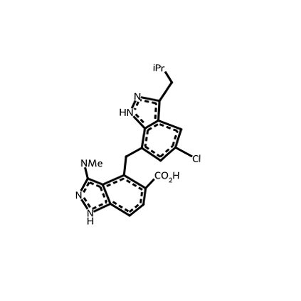 CNc1n[nH]c2ccc(C(=O)O)c(Cc3cc(Cl)cc4c(CC(C)C)n[nH]c34)c12